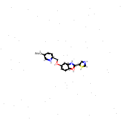 COc1ccc(COc2ccc3oc(-c4cncs4)nc3c2)nc1